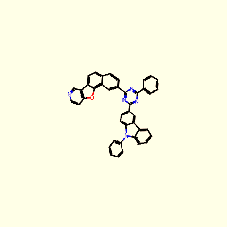 c1ccc(-c2nc(-c3ccc4ccc5c6cnccc6oc5c4c3)nc(-c3ccc4c(c3)c3ccccc3n4-c3ccccc3)n2)cc1